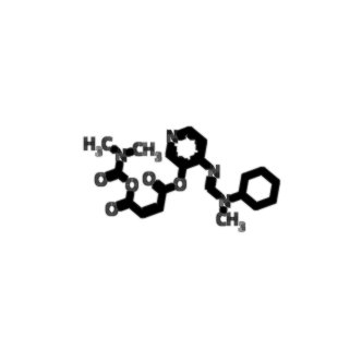 CN(C)C(=O)OC(=O)/C=C\C(=O)Oc1cnccc1N=CN(C)C1CCCCC1